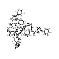 COc1ncc(NC(=O)c2csc(-c3ccccc3)n2)cc1S(=O)(=O)N(COc1ncc(NC(=O)c2csc(-c3ccccc3)n2)cc1S(=O)(=O)Nc1ccccc1CO)c1ccc(C(F)(F)F)cn1